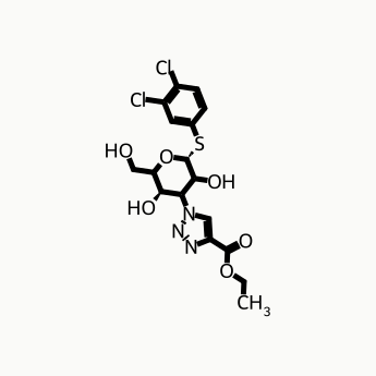 CCOC(=O)c1cn(C2C(O)[C@@H](Sc3ccc(Cl)c(Cl)c3)OC(CO)[C@@H]2O)nn1